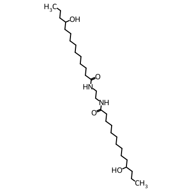 CCCC(O)CCCCCCCCCC(=O)NCCNC(=O)CCCCCCCCCC(O)CCC